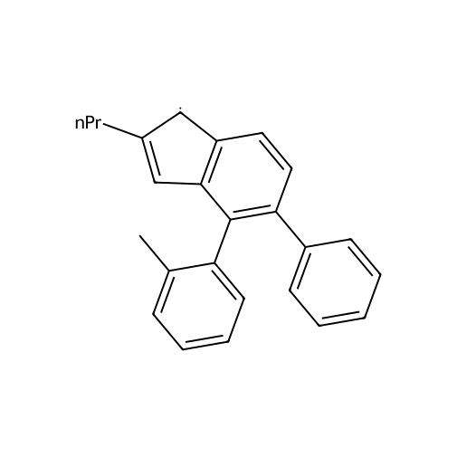 CCCC1=Cc2c(ccc(-c3ccccc3)c2-c2ccccc2C)[CH]1